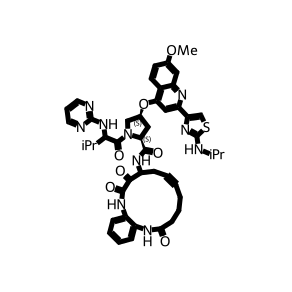 COc1ccc2c(O[C@H]3C[C@@H](C(=O)NC4CC#CCCCC(=O)Nc5ccccc5NC(=O)C4=O)N(C(=O)C(Nc4ncccn4)C(C)C)C3)cc(-c3csc(NC(C)C)n3)nc2c1